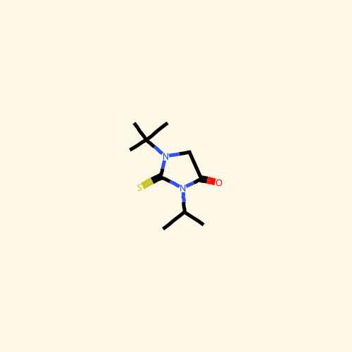 CC(C)N1C(=O)CN(C(C)(C)C)C1=S